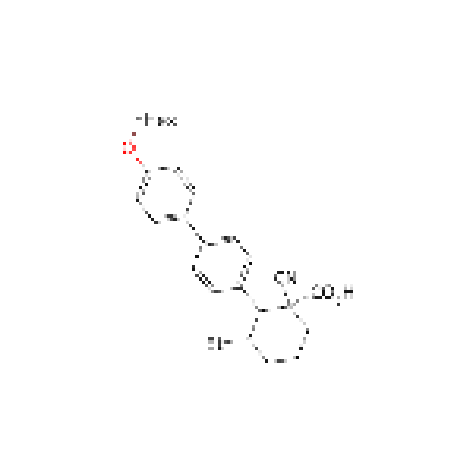 CCCCCCOc1ccc(-c2ccc(C3C(CC)CCCC3(C#N)C(=O)O)cc2)cc1